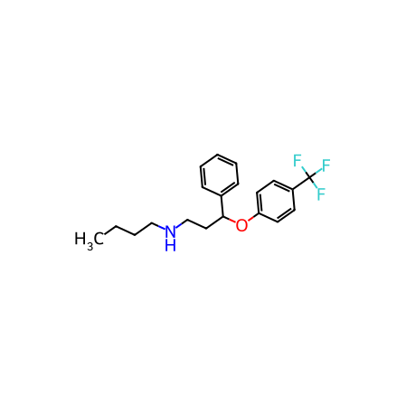 CCCCNCCC(Oc1ccc(C(F)(F)F)cc1)c1ccccc1